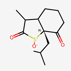 CC(C)C[C@]12C(=O)CCCC1C(C)C(=O)[S+]2[O-]